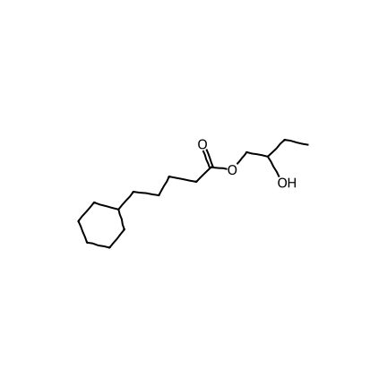 CCC(O)COC(=O)CCCCC1CCCCC1